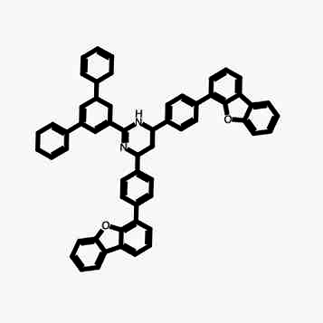 C1=CCC(C2C=C(C3=CCCC=C3)C=C(C3=NC(c4ccc(-c5cccc6c5oc5ccccc56)cc4)CC(c4ccc(-c5cccc6c5oc5ccccc56)cc4)N3)C2)C=C1